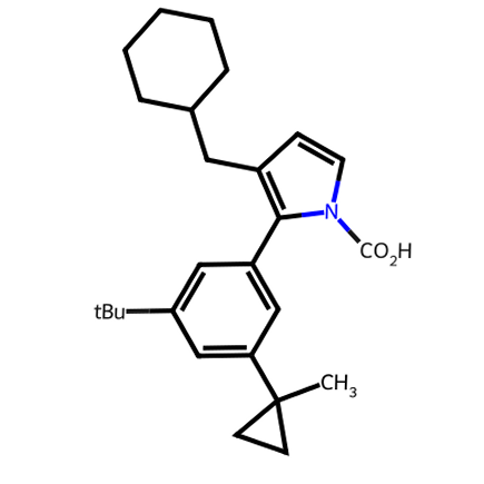 CC(C)(C)c1cc(-c2c(CC3CCCCC3)ccn2C(=O)O)cc(C2(C)CC2)c1